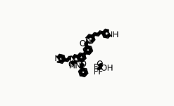 O=C(NCC(=O)N(CCc1ccncc1)Cc1cccc(-c2cccc(C(=O)N3CCC(CCCC4CCNCC4)CC3)c2)c1)c1ccccc1.O=C(O)C(F)(F)F